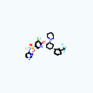 O=S(=O)(Nc1ccncn1)c1cnc(O[C@H]2CC[C@H](c3cccc(C(F)(F)F)c3)C[C@@H]2N2CCCCC2)c(Cl)c1